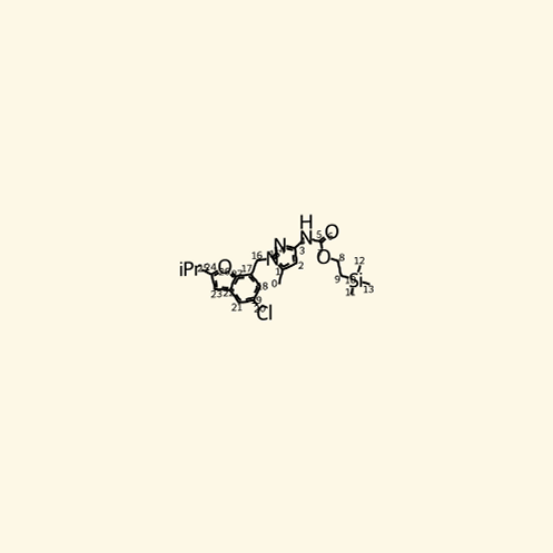 Cc1cc(NC(=O)OCC[Si](C)(C)C)nn1Cc1cc(Cl)cc2cc(C(C)C)oc12